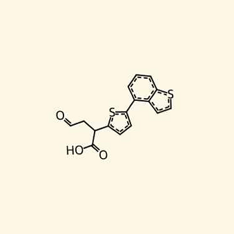 O=CCC(C(=O)O)c1ccc(-c2cccc3sccc23)s1